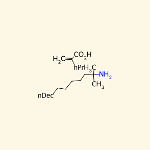 C=C(CCC)C(=O)O.CCCCCCCCCCCCCCCC(C)(C)N